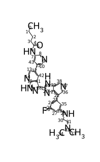 CCCCC(=O)Nc1cncc(-c2cnc3[nH]nc(-c4nc5c(-c6cc(F)cc(NCCN(C)C)c6)cncc5[nH]4)c3c2)c1